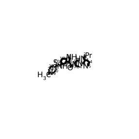 CC(C)Nc1cccnc1N1CCN(C(=O)c2c[nH]c3ccc(NC(=S)N4CCN(C)CC4)cc23)CC1